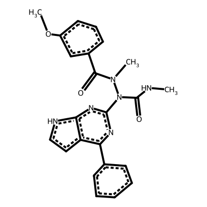 CNC(=O)N(c1nc(-c2ccccc2)c2cc[nH]c2n1)N(C)C(=O)c1cccc(OC)c1